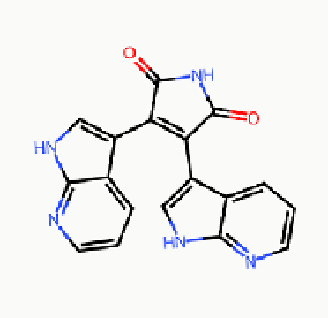 O=C1NC(=O)C(c2c[nH]c3ncccc23)=C1c1c[nH]c2ncccc12